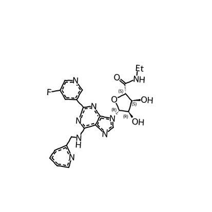 CCNC(=O)[C@H]1O[C@@H](n2cnc3c(NCc4ccccn4)nc(-c4cncc(F)c4)nc32)[C@H](O)[C@@H]1O